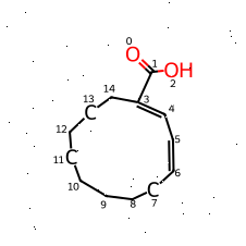 O=C(O)C1=CC=CCCCCCCCC1